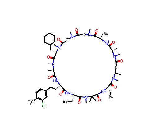 CCC(C)[C@@H]1NC(=O)[C@H](C)N(C)C(=O)C[C@@H](C)N(C)C(=O)[C@H](CC(C)C)NC(=O)C(C)(C)N(C)C(=O)[C@H](CC(C)C)NC(=O)[C@H](CCc2ccc(C(F)(F)F)c(Cl)c2)NC(=O)[C@@H](C)N(C)C(=O)[C@H](CC2CCCCC2)N(C)C(=O)CN(C)C(=O)CN(C)C1=O